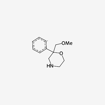 COCC1(c2[c]cccc2)CNCCO1